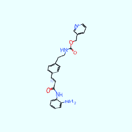 Nc1ccccc1NC(=O)/C=C/c1ccc(CCNC(=O)OCc2cccnc2)cc1